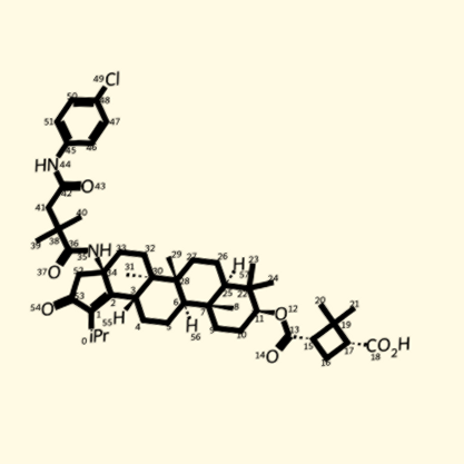 CC(C)C1=C2[C@H]3CC[C@@H]4[C@@]5(C)CC[C@H](OC(=O)[C@H]6C[C@@H](C(=O)O)C6(C)C)C(C)(C)[C@@H]5CC[C@@]4(C)[C@]3(C)CC[C@@]2(NC(=O)C(C)(C)CC(=O)Nc2ccc(Cl)cc2)CC1=O